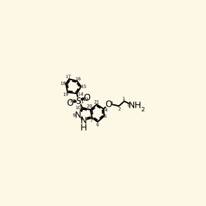 NCCOc1ccc2[nH]nc(S(=O)(=O)c3ccccc3)c2c1